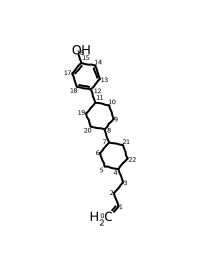 C=CCCC1CCC(C2CCC(c3ccc(O)cc3)CC2)CC1